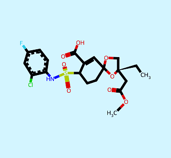 CC[C@]1(CC(=O)OC)COC2(C=C(C(=O)O)C(S(=O)(=O)Nc3ccc(F)cc3Cl)CC2)O1